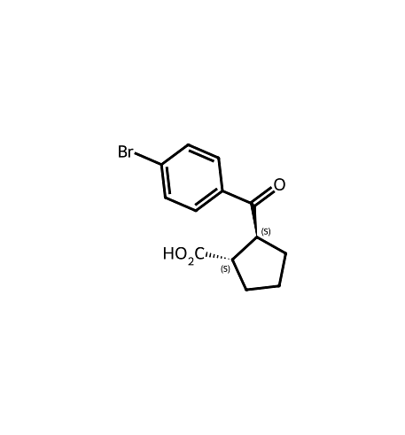 O=C(O)[C@H]1CCC[C@@H]1C(=O)c1ccc(Br)cc1